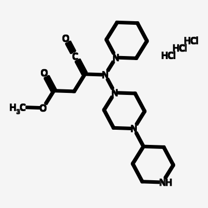 COC(=O)CC(=C=O)N(N1CCCCC1)N1CCN(C2CCNCC2)CC1.Cl.Cl.Cl